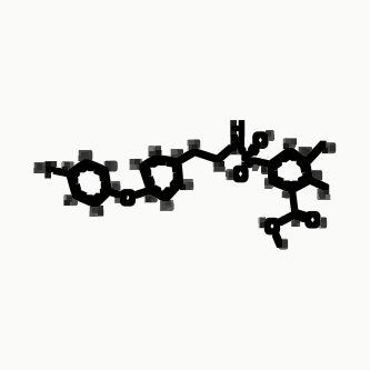 COC(=O)c1cc(S(=O)(=O)NCCc2ccc(Oc3ccc(F)cc3)cc2)cc(C)c1C